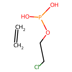 C=C.OP(O)OCCCl